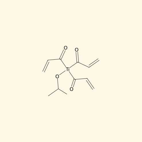 C=C[C](=O)[Ti]([O]C(C)C)([C](=O)C=C)[C](=O)C=C